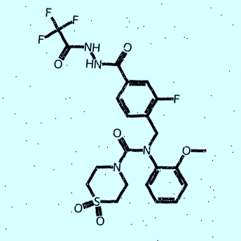 COc1ccccc1N(Cc1ccc(C(=O)NNC(=O)C(F)(F)F)cc1F)C(=O)N1CCS(=O)(=O)CC1